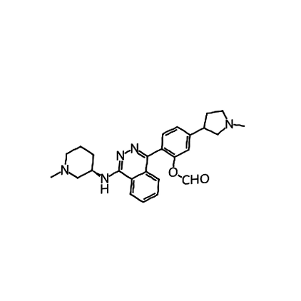 CN1CCC(c2ccc(-c3nnc(N[C@@H]4CCCN(C)C4)c4ccccc34)c(OC=O)c2)C1